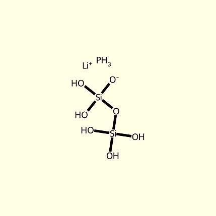 P.[Li+].[O-][Si](O)(O)O[Si](O)(O)O